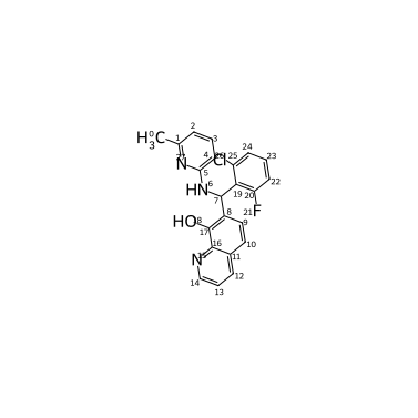 Cc1cccc(NC(c2ccc3cccnc3c2O)c2c(F)cccc2Cl)n1